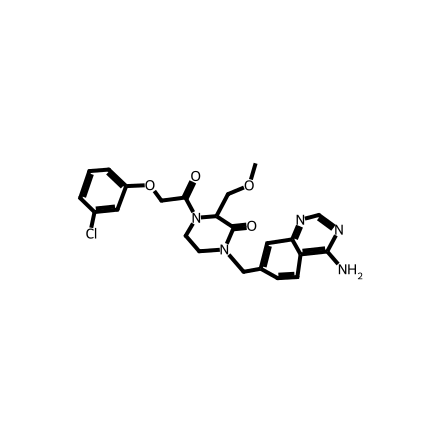 COCC1C(=O)N(Cc2ccc3c(N)ncnc3c2)CCN1C(=O)COc1cccc(Cl)c1